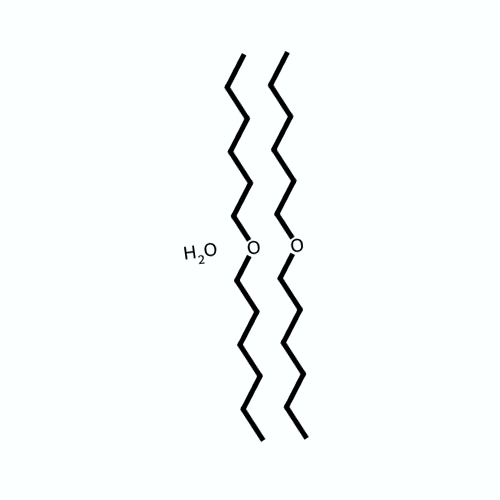 CCCCCCOCCCCCC.CCCCCCOCCCCCC.O